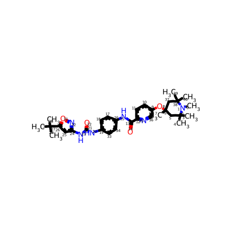 CN1C(C)(C)CC(C)(Oc2ccc(C(=O)Nc3ccc(NC(=O)Nc4cc(C(C)(C)C)on4)cc3)nc2)CC1(C)C